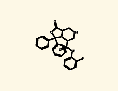 O=C(Nc1ccccc1F)C1CNCC2C(=O)OC(c3ccccc3)(c3ccccc3)N12